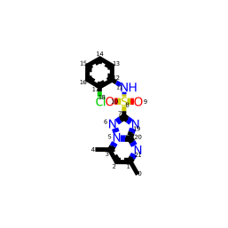 Cc1cc(C)n2nc(S(=O)(=O)Nc3ccccc3Cl)nc2n1